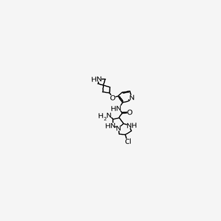 NC1NN2CC(Cl)CNC2C1C(=O)Nc1cnccc1OC1CC2(CNC2)C1